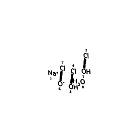 O.OCl.OCl.[Na+].[O-]Cl